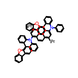 CC(C)c1cc(N(c2ccccc2)c2ccccc2-c2cccc3c2oc2ccccc23)c2ccc3c(C(C)C)cc(N(c4ccccc4)c4ccccc4-c4cccc5c4oc4ccccc45)c4ccc1c2c34